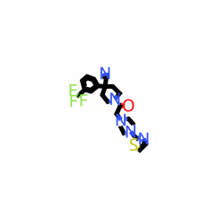 N#CC1(c2cccc(C(F)(F)F)c2)CCN(C(=O)CN2CCN(c3nccs3)CC2)CC1